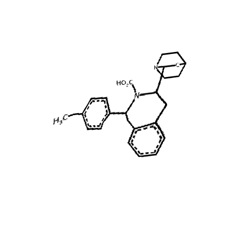 Cc1ccc(C2c3ccccc3CC(C3CC4CCN3CC4)N2C(=O)O)cc1